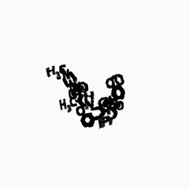 CC(C)CN(C(Cc1ccccc1)[C@H](O)CNC(=O)[C@@H](C)CS(=O)(=O)N1CCN(C)CC1)S(=O)(=O)c1ccc2c(c1)OCO2